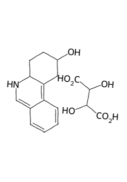 O=C(O)C(O)C(O)C(=O)O.OC1CCC2NC=c3ccccc3=C2C1